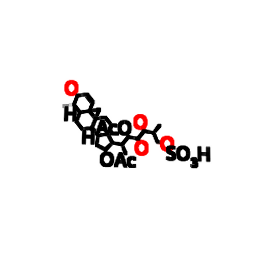 CC(=O)O[C@H]1C[C@@]2(C)[C@@H]3CC[C@H]4[C@H](C)C(=O)C=C[C@@]45C[C@@]35CC[C@]2(C)[C@H]1[C@H](C)[C@@H](OC(C)=O)C(=O)C(=O)[C@@H](C)COS(=O)(=O)O